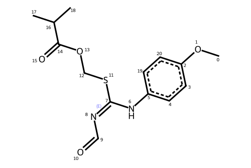 COc1ccc(N/C(=N\C=O)SCOC(=O)C(C)C)cc1